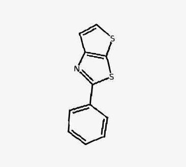 c1ccc(-c2nc3ccsc3s2)cc1